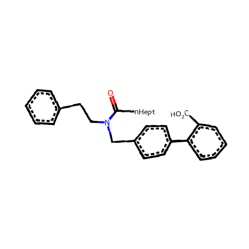 CCCCCCCC(=O)N(CCc1ccccc1)Cc1ccc(-c2ccccc2C(=O)O)cc1